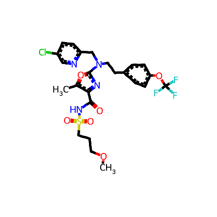 COCCCS(=O)(=O)NC(=O)c1nc(N(CCc2ccc(OC(F)(F)F)cc2)Cc2ccc(Cl)cn2)oc1C